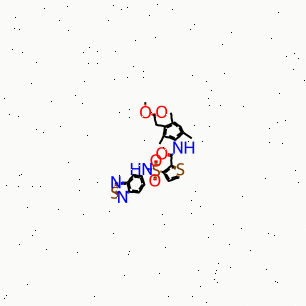 COC(=O)Cc1c(C)cc(C)c(NC(=O)c2sccc2S(=O)(=O)Nc2ccc3nsnc3c2)c1C